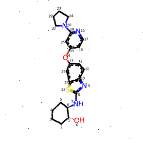 O[C@@H]1CCCC[C@H]1Nc1nc2ccc(Oc3ccnc(N4CCCC4)c3)cc2s1